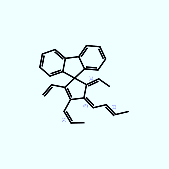 C=CC1=C(/C=C\C)C(=C/C=C/C)/C(=C\C)C12c1ccccc1-c1ccccc12